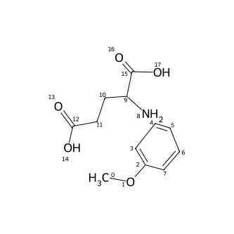 COc1ccccc1.NC(CCC(=O)O)C(=O)O